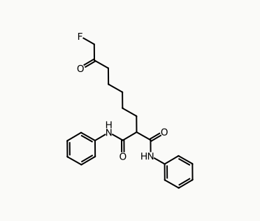 O=C(CF)CCCCCC(C(=O)Nc1ccccc1)C(=O)Nc1ccccc1